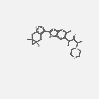 CC(C(=O)N(C)c1cc2[nH]c(-c3n[nH]c4c3C[C@@H]3C[C@]3(C)C4)nc2nc1F)N1CCOCC1